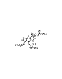 CCCCC[C@H](O)CC[C@@H]1[C@@H](Cc2cccc(OCC(=O)OC)c2CC)CC[C@H]1OC(=O)OCC